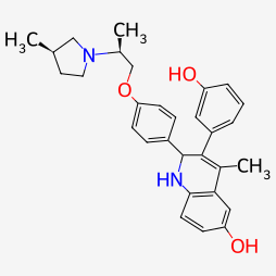 CC1=C(c2cccc(O)c2)C(c2ccc(OC[C@H](C)N3CC[C@@H](C)C3)cc2)Nc2ccc(O)cc21